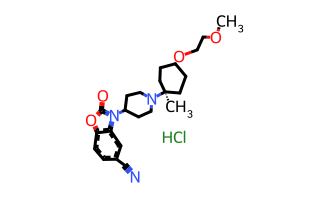 COCCO[C@H]1CC[C@](C)(N2CCC(n3c(=O)oc4ccc(C#N)cc43)CC2)CC1.Cl